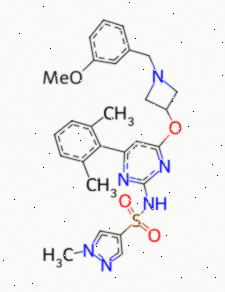 COc1cccc(CN2CC(Oc3cc(-c4c(C)cccc4C)nc(NS(=O)(=O)c4cnn(C)c4)n3)C2)c1